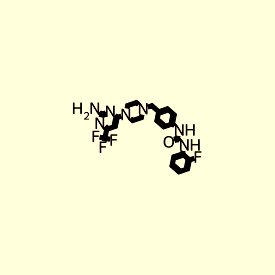 Nc1nc(N2CCN(Cc3ccc(NC(=O)Nc4ccccc4F)cc3)CC2)cc(C(F)(F)F)n1